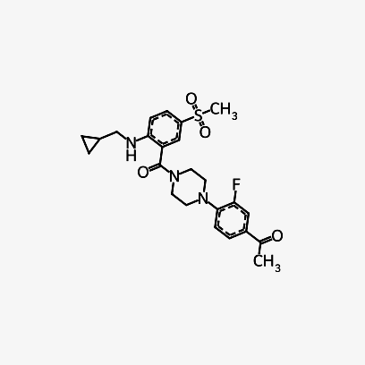 CC(=O)c1ccc(N2CCN(C(=O)c3cc(S(C)(=O)=O)ccc3NCC3CC3)CC2)c(F)c1